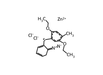 CCOc1cc(SC2=CC=CCC2=[N+]=[N-])c(OCC)cc1C.[Cl-].[Cl-].[Zn+2]